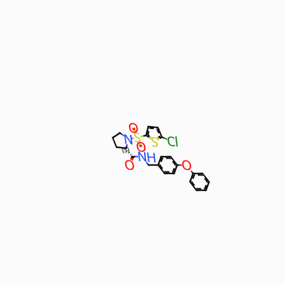 O=C(NCc1ccc(Oc2ccccc2)cc1)[C@@H]1CCCN1S(=O)(=O)c1ccc(Cl)s1